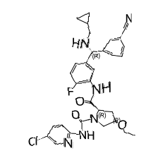 CCO[C@@H]1C[C@H](C(=O)Nc2cc([C@H](NCC3CC3)c3cccc(C#N)c3)ccc2F)N(C(=O)Nc2ccc(Cl)cn2)C1